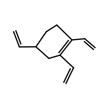 C=CC1=C(C=C)CC(C=C)CC1